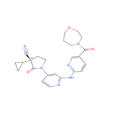 N#C[C@@]1(C2CC2)CCN(c2ccnc(Nc3ccc(C(=O)N4CCCOCC4)cn3)c2)C1=O